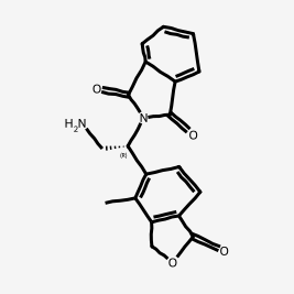 Cc1c([C@H](CN)N2C(=O)c3ccccc3C2=O)ccc2c1COC2=O